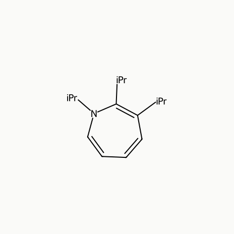 CC(C)C1=C(C(C)C)N(C(C)C)C=CC=C1